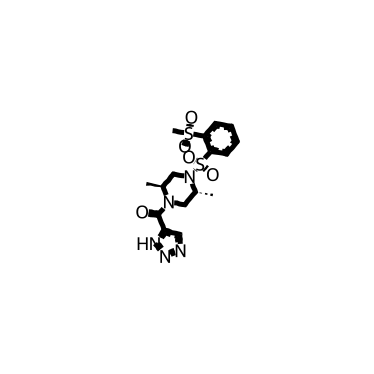 C[C@@H]1CN(C(=O)c2cnn[nH]2)[C@@H](C)CN1S(=O)(=O)c1ccccc1S(C)(=O)=O